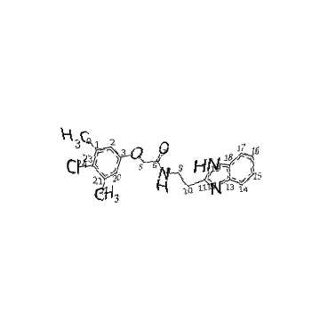 Cc1cc(OCC(=O)NCCc2nc3ccccc3[nH]2)cc(C)c1Cl